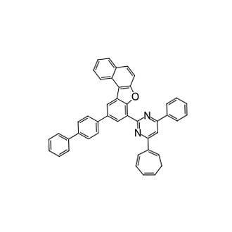 C1=CCC=C(c2cc(-c3ccccc3)nc(-c3cc(-c4ccc(-c5ccccc5)cc4)cc4c3oc3ccc5ccccc5c34)n2)C=C1